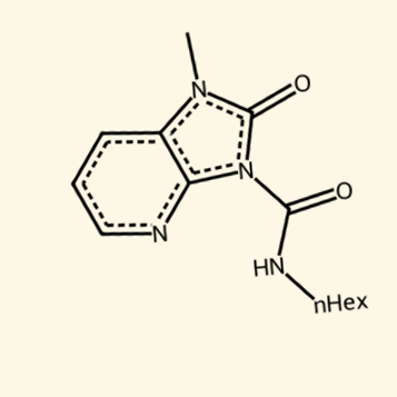 CCCCCCNC(=O)n1c(=O)n(C)c2cccnc21